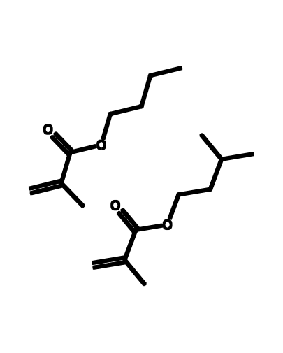 C=C(C)C(=O)OCCC(C)C.C=C(C)C(=O)OCCCC